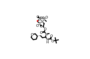 CN(C(=O)OCC[Si](S(C)(=O)=O)(S(C)(=O)=O)S(C)(=O)=O)C(CC[C@@H]1CCCOC1)NC(=O)OC(C)(C)C